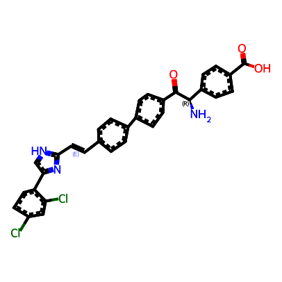 N[C@@H](C(=O)c1ccc(-c2ccc(/C=C/c3nc(-c4ccc(Cl)cc4Cl)c[nH]3)cc2)cc1)c1ccc(C(=O)O)cc1